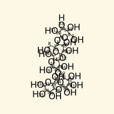 OCC1O[C@H](O[C@@H]2C(CO)O[C@H](O[C@@H]3C(CO)O[C@H](O)C(OCC4O[C@H](O[C@@H]5C(CO)O[C@H](O)C(O)[C@@H]5O)C(O)[C@H](O)[C@@H]4O)[C@@H]3O)C(O)[C@@H]2O)C(O)[C@H](O)[C@@H]1O